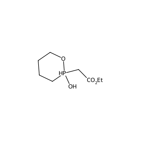 CCOC(=O)C[PH]1(O)CCCCO1